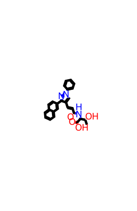 CC(O)C(NC(=O)/C=C/c1cn(-c2ccccc2)nc1-c1ccc2ccccc2c1)C(=O)O